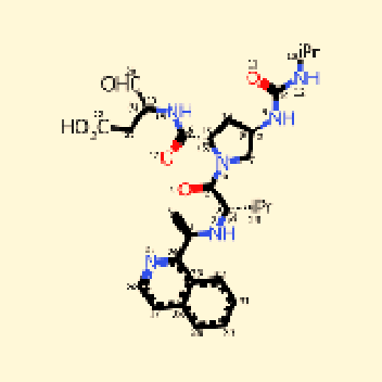 C=C(N[C@H](C(=O)N1C[C@H](NC(=O)NC(C)C)C[C@H]1C(=O)N[C@H](C=O)CC(=O)O)C(C)C)c1nccc2ccccc12